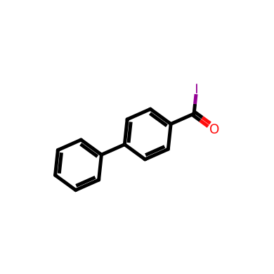 O=C(I)c1ccc(-c2ccccc2)cc1